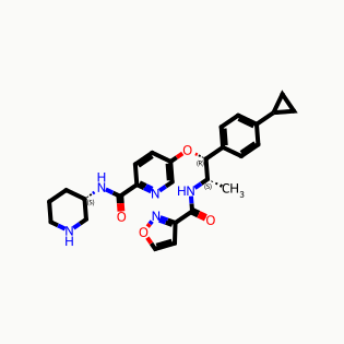 C[C@H](NC(=O)c1ccon1)[C@H](Oc1ccc(C(=O)N[C@H]2CCCNC2)nc1)c1ccc(C2CC2)cc1